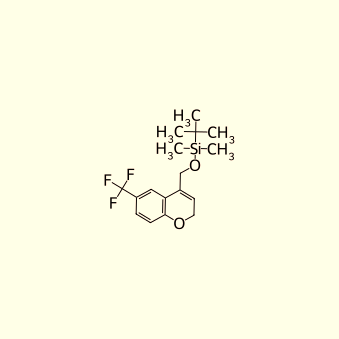 CC(C)(C)[Si](C)(C)OCC1=CCOc2ccc(C(F)(F)F)cc21